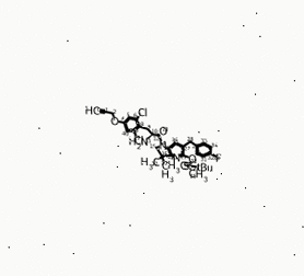 C#CCOc1cc(Cl)c(C[C@H](N)C(=O)N2CC(C)(C)c3nc(O[Si](C)(C)C(C)(C)C)c(Cc4ccc(F)cc4)cc32)c(Cl)c1